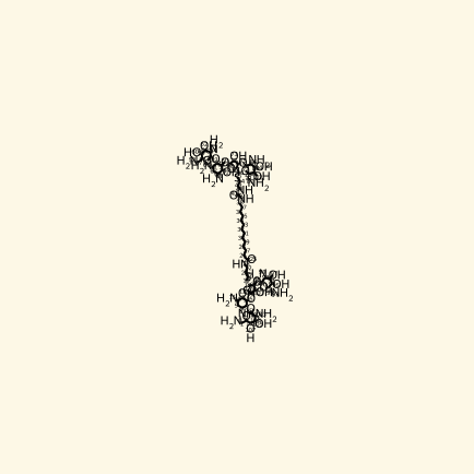 NCC1O[C@H](OC2C(N)C[C@@H](N)C(O)[C@H]2O[C@@H]2O[C@H](CSCCNC(=O)CCCCCCCCCCCCCNC(=O)NCCSC[C@H]3O[C@@H](OC4C(O[C@@H]5OC(CN)C(O)[C@H](O)C5N)C(N)C[C@H](N)[C@@H]4O)C(O)C3O[C@@H]3O[C@H](CN)C(O)C(O)C3N)C(O[C@H]3O[C@@H](CN)C(O)C(O)C3N)[C@@H]2O)C(N)[C@@H](O)C1O